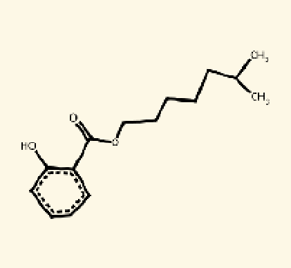 CC(C)CCCCCOC(=O)c1ccccc1O